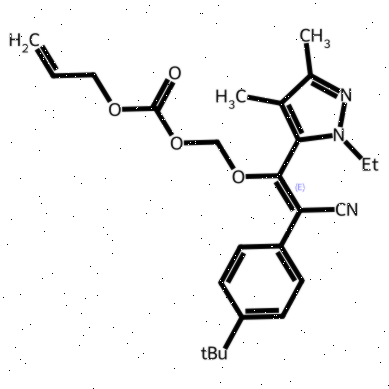 C=CCOC(=O)OCO/C(=C(/C#N)c1ccc(C(C)(C)C)cc1)c1c(C)c(C)nn1CC